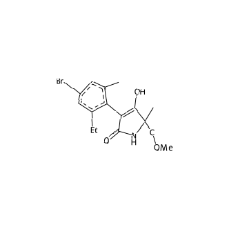 CCc1cc(Br)cc(C)c1C1=C(O)C(C)(COC)NC1=O